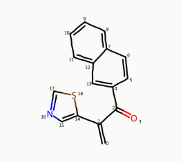 C=C(C(=O)c1ccc2ccccc2c1)c1cncs1